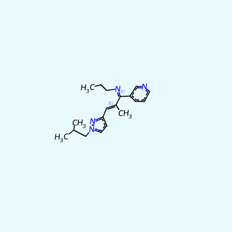 CCC/N=C(\C(C)=C\c1ccn(CC(C)C)n1)c1cccnc1